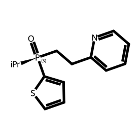 CC(C)[P@@](=O)(CCc1ccccn1)c1cccs1